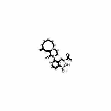 C=C1/C=C2/C(=O)N(c3nccc(B(O)O)c3COC(C)=O)CCN2CCCCC1